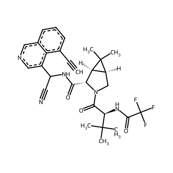 C#Cc1cccc2cncc(C(C#N)NC(=O)[C@@H]3[C@@H]4[C@H](CN3C(=O)[C@@H](NC(=O)C(F)(F)F)C(C)(C)C)C4(C)C)c12